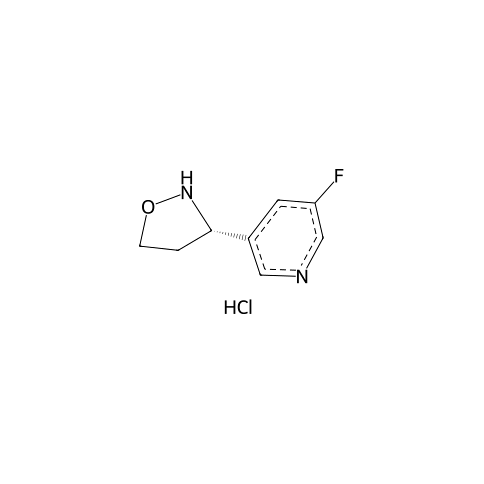 Cl.Fc1cncc([C@@H]2CCON2)c1